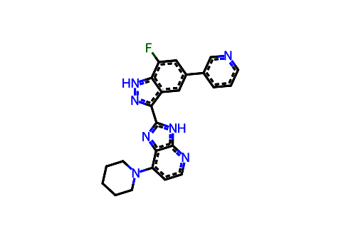 Fc1cc(-c2cccnc2)cc2c(-c3nc4c(N5CCCCC5)ccnc4[nH]3)n[nH]c12